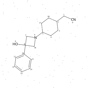 N#CCC1CCC(N2CC(O)(c3ccccc3)C2)CC1